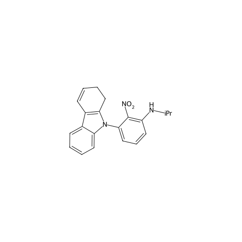 CC(C)Nc1cccc(-n2c3c(c4ccccc42)C=CCC3)c1[N+](=O)[O-]